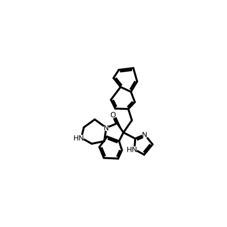 O=C(N1CCNCC1)C(Cc1ccc2ccccc2c1)(c1ccccc1)c1ncc[nH]1